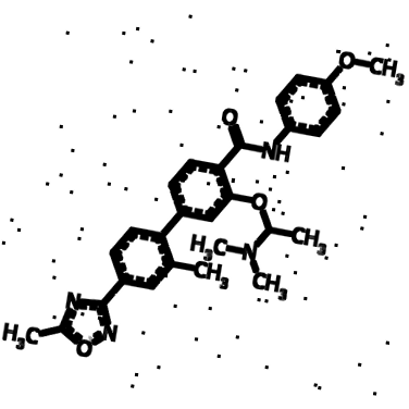 COc1ccc(NC(=O)c2ccc(-c3ccc(-c4noc(C)n4)cc3C)cc2OC(C)N(C)C)cc1